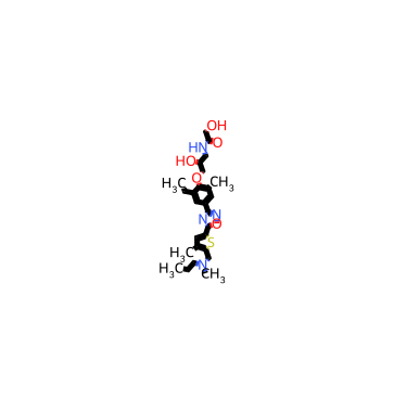 CCCN(C)Cc1sc(-c2nc(-c3cc(C)c(OCC(O)CNC(=O)CO)c(CC)c3)no2)cc1C